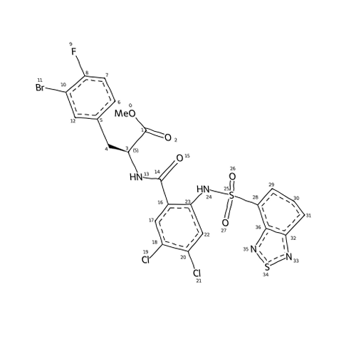 COC(=O)[C@H](Cc1ccc(F)c(Br)c1)NC(=O)c1cc(Cl)c(Cl)cc1NS(=O)(=O)c1cccc2nsnc12